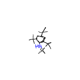 CC(C)(C)c1cc(C(C)(C)C)c(N[Si](C)(C)C)c(C(C)(C)C)c1